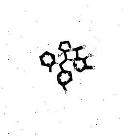 Cc1ccccc1[C@@H](c1ccc(F)cc1)[C@H]1[C@H]2CCCN2C(=O)c2c(O)c(=O)cnn21